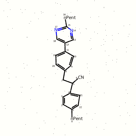 CCCCCc1ccc(C(C#N)Cc2ccc(-c3cnc(CCCCC)nc3)cc2)cc1